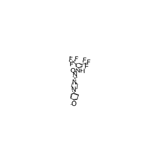 COc1ccc(N2CCN(C3CN(C(=O)Nc4cc(C(F)(F)F)cc(C(F)(F)F)c4)C3)CC2)cc1